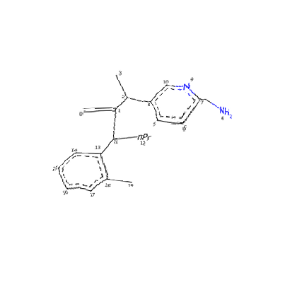 C=C(C(C)c1ccc(N)nc1)C(CCC)c1ccccc1C